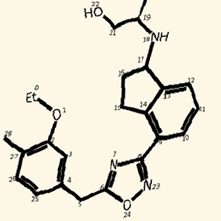 CCOc1cc(Cc2nc(-c3cccc4c3CCC4N[C@H](C)CO)no2)ccc1C